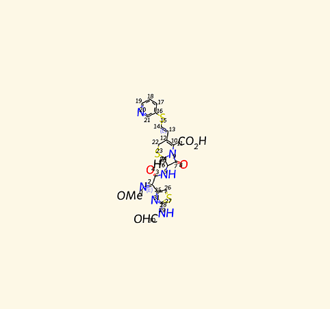 CO/N=C(/C(=O)NC1C(=O)N2C(C(=O)O)=C(/C=C/Sc3cccnc3)CS[C@H]12)c1csc(NC=O)n1